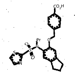 CC(C)N(c1cc2c(cc1OCc1ccc(C(=O)O)cc1)CCC2)S(=O)(=O)c1nccs1